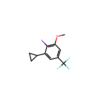 COc1cc(C(F)(F)F)cc(C2CC2)c1I